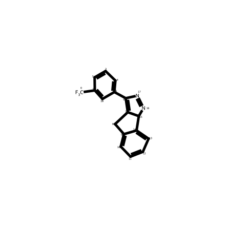 FC(F)(F)c1cccc(C2=C3Cc4ccccc4C3N=N2)c1